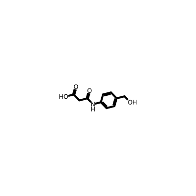 O=C(O)CC(=O)Nc1ccc(CO)cc1